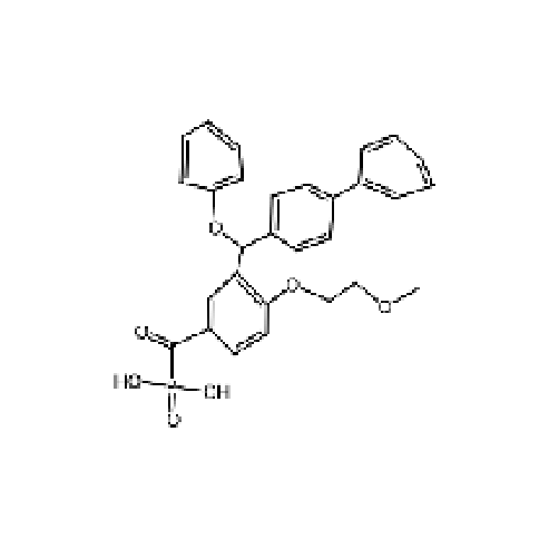 COCCOc1ccc(C(=O)P(=O)(O)O)cc1C(Oc1ccccc1)c1ccc(-c2ccccc2)cc1